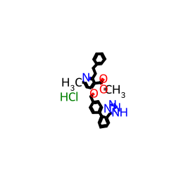 COC(=O)c1c(OCc2ccc(-c3ccccc3-c3nnn[nH]3)cc2)cc(C)nc1CCc1ccccc1.Cl